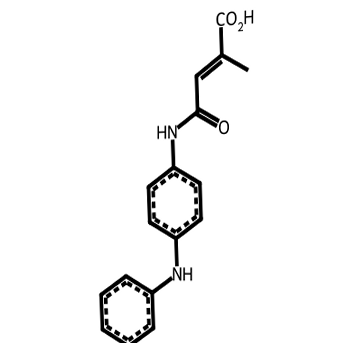 CC(=CC(=O)Nc1ccc(Nc2ccccc2)cc1)C(=O)O